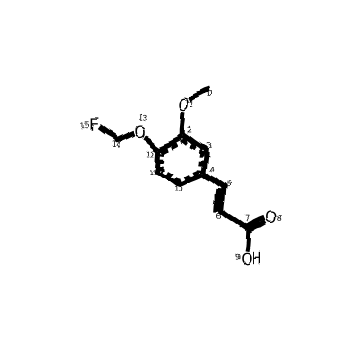 COc1cc(C=CC(=O)O)ccc1OCF